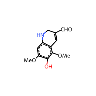 COc1cc2c(c(OC)c1O)C=C(C=O)CN2